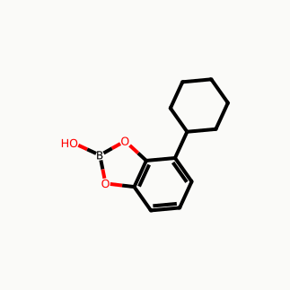 OB1Oc2cccc(C3CCCCC3)c2O1